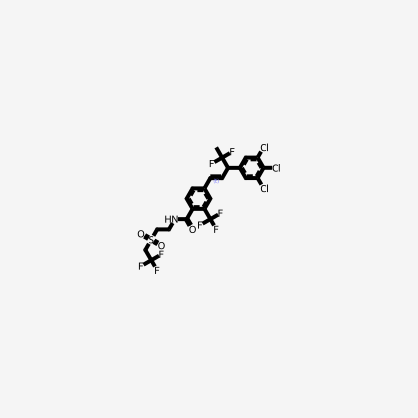 CC(F)(F)C(/C=C/c1ccc(C(=O)NCCS(=O)(=O)CC(F)(F)F)c(C(F)(F)F)c1)c1cc(Cl)c(Cl)c(Cl)c1